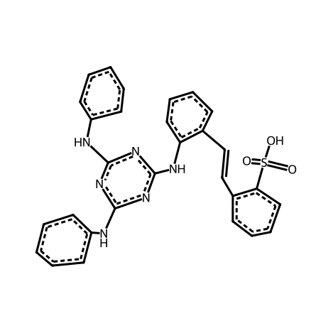 O=S(=O)(O)c1ccccc1/C=C/c1ccccc1Nc1nc(Nc2ccccc2)nc(Nc2ccccc2)n1